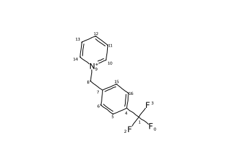 FC(F)(F)c1ccc(C[n+]2ccccc2)cc1